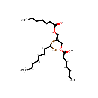 CCCCCCCCCCCCCCCC(=O)OCC(COC(=O)CCCCCCCCCCCCCCC)SC(S)CCCCCCC(=O)O